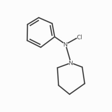 ClN(c1ccccc1)N1CCCCC1